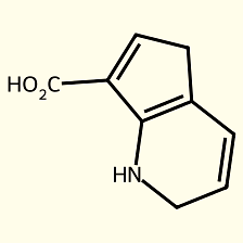 O=C(O)C1=CCC2=C1NCC=C2